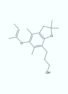 CC=C(C)Oc1c(C)c(CCCO)c2c(c1C)CC(C)(C)O2